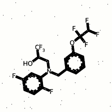 OC(CN(Cc1cccc(OC(F)(F)C(F)F)c1)c1cc(F)ccc1F)C(F)(F)F